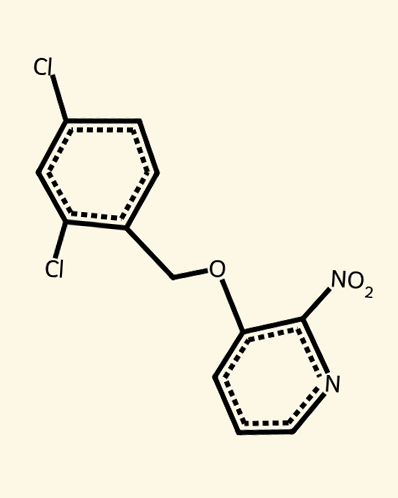 O=[N+]([O-])c1ncccc1OCc1ccc(Cl)cc1Cl